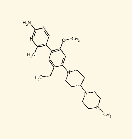 CCc1cc(-c2cnc(N)nc2N)c(OC)cc1N1CCC(N2CCN(C)CC2)CC1